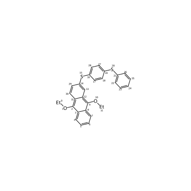 CCOc1c2ccccc2c(OCC)c2cc(Sc3ccc(Sc4ccccc4)cc3)ccc12